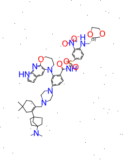 CN(C)C12CCC(C3=C(CN4CCN(c5ccc(C(=O)NS(=O)(=O)c6ccc(NC[C@H]7COCCO7)c([N+](=O)[O-])c6)c(N6CCCOc7nc8[nH]ccc8cc76)c5)CC4)CCC(C)(C)C3)(CC1)C2